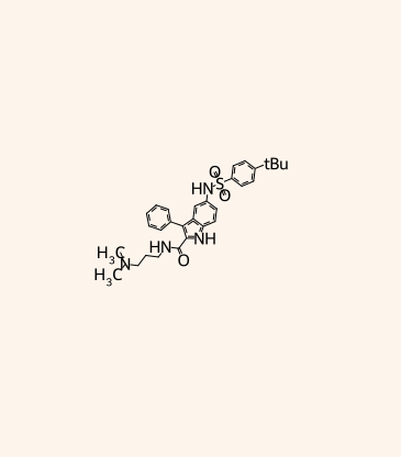 CN(C)CCCNC(=O)c1[nH]c2ccc(NS(=O)(=O)c3ccc(C(C)(C)C)cc3)cc2c1-c1ccccc1